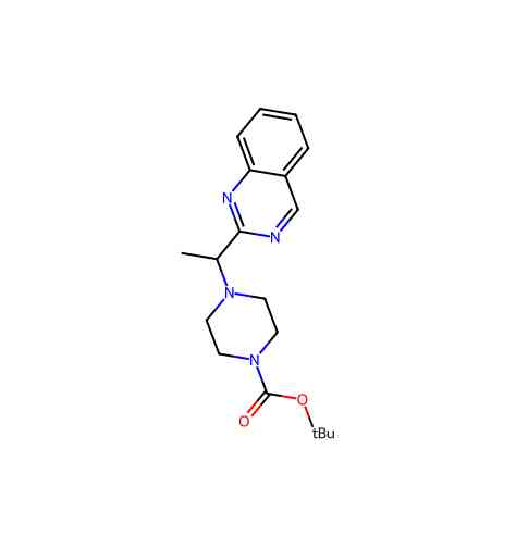 CC(c1ncc2ccccc2n1)N1CCN(C(=O)OC(C)(C)C)CC1